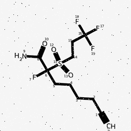 C#CCCCCC(F)(C(N)=O)S(=O)(=O)CCC(F)(F)F